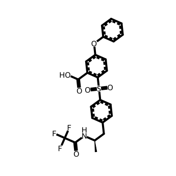 C[C@H](Cc1ccc(S(=O)(=O)c2ccc(Oc3ccccc3)cc2C(=O)O)cc1)NC(=O)C(F)(F)F